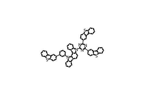 c1cc(-c2ccc3sc4ccccc4c3c2)cc(-n2c3ccccc3c3ccc4c(c5ccccc5n4-c4nc(-c5ccc6sc7ccccc7c6c5)nc(-c5ccc6sc7ccccc7c6c5)n4)c32)c1